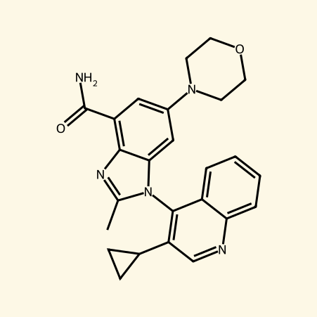 Cc1nc2c(C(N)=O)cc(N3CCOCC3)cc2n1-c1c(C2CC2)cnc2ccccc12